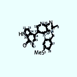 CSc1ccc(Cn2c(C)nc3ncc(-c4cn(C)c(=O)c5[nH]ccc45)cc32)cc1